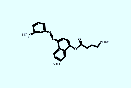 CCCCCCCCCCCCCC(=O)Oc1ccc(N=Nc2cccc(S(=O)(=O)O)c2)c2ccccc12.[NaH]